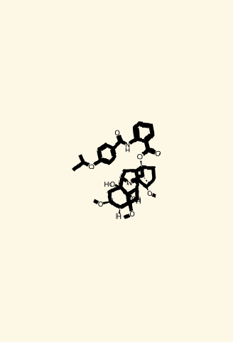 CO[C@H]1C[C@]2(O)C3CC4C5(C6C[C@H]1[C@H](OC)[C@@]62O)[C@@H](OC)CC[C@@]4(OC(=O)c1ccccc1NC(=O)c1ccc(OC(C)C)cc1)[C@H](C)N35